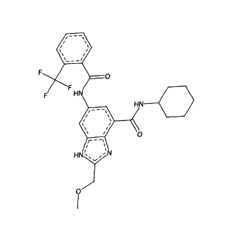 COCc1nc2c(C(=O)NC3CCCCC3)cc(NC(=O)c3ccccc3C(F)(F)F)cc2[nH]1